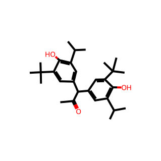 CC(=O)C(c1cc(C(C)C)c(O)c(C(C)(C)C)c1)c1cc(C(C)C)c(O)c(C(C)(C)C)c1